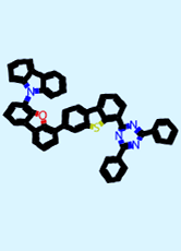 c1ccc(-c2nc(-c3ccccc3)nc(-c3cccc4c3sc3cc(-c5cccc6c5oc5c(-n7c8ccccc8c8ccccc87)cccc56)ccc34)n2)cc1